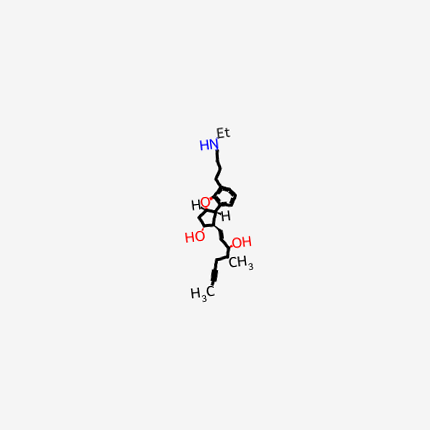 CC#CC[C@@H](C)[C@H](O)/C=C/[C@@H]1[C@H]2c3cccc(CCCCNCC)c3O[C@H]2C[C@H]1O